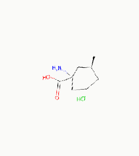 C[C@H]1CCC[C@@](N)(C(=O)O)C1.Cl